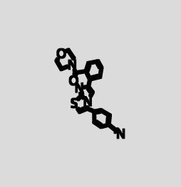 N#Cc1ccc(-c2csc3nc(-c4ccccc4C(=O)N4CCOCC4)cn23)cc1